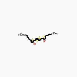 CCCCCCCCCCCCCCc1cc(Br)c(-c2cc3sc(-c4sc(CCCCCCCCCCCCCC)cc4Br)cc3s2)s1